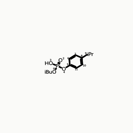 CC(C)COP(=O)(O)Oc1ccc(C(C)C)cc1